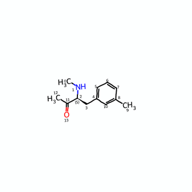 CN[C@@H](Cc1cccc(C)c1)C(C)=O